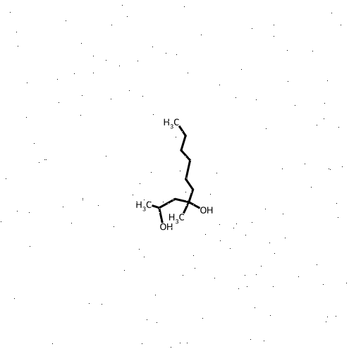 CCCCCCC(C)(O)CC(C)O